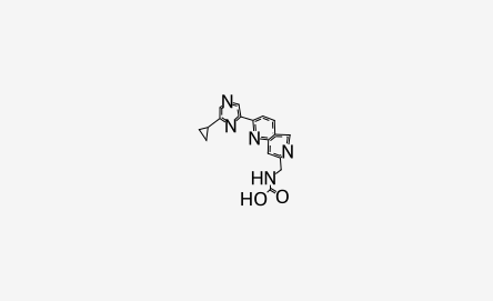 O=C(O)NCc1cc2nc(-c3cncc(C4CC4)n3)ccc2cn1